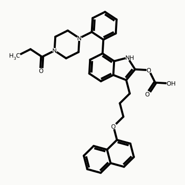 CCC(=O)N1CCN(c2ccccc2-c2cccc3c(CCCOc4cccc5ccccc45)c(OC(=O)O)[nH]c23)CC1